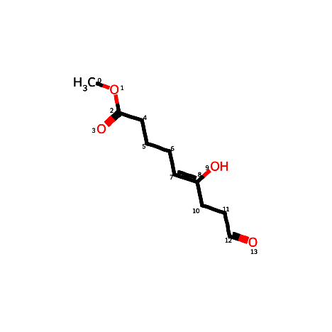 COC(=O)CCCC=C(O)CCC=O